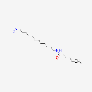 CCCCCC(=O)NCCCCCCCCCCCCN